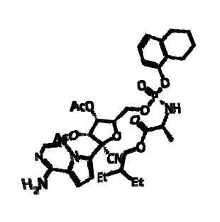 CCC(CC)COC(=O)[C@H](C)N[P@@](=O)(OC[C@H]1O[C@@](C#N)(c2ccc3c(N)ncnn23)[C@H](OC(C)=O)[C@@H]1OC(C)=O)Oc1cccc2c1CCCC2